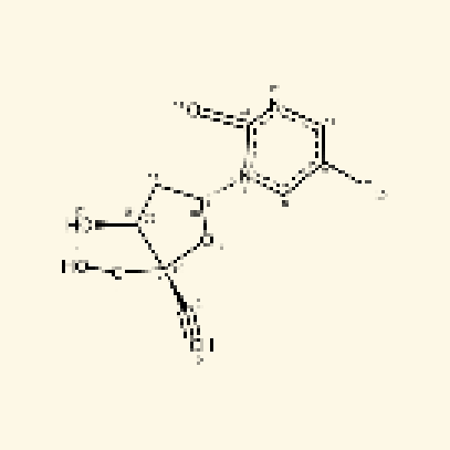 C#C[C@]1(CO)O[C@@H](n2cc(F)cnc2=O)C[C@@H]1O